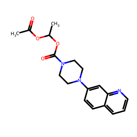 CC(=O)OC(C)OC(=O)N1CCN(c2ccc3cccnc3c2)CC1